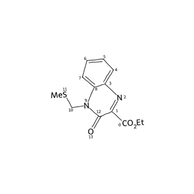 CCOC(=O)c1nc2ccccc2n(CSC)c1=O